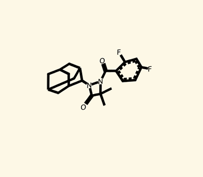 CC1(C)C(=O)N(C2C3CC4CC(C3)CC2C4)N1C(=O)c1ccc(F)cc1F